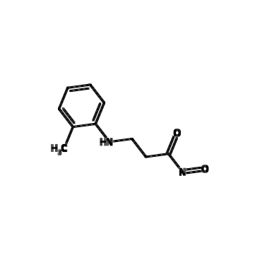 Cc1ccccc1NCCC(=O)N=O